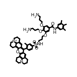 Cc1cc(S(=O)(=O)NCCCOc2cc(C(=O)Nc3cc(C)c(C)c(C)c3)cc(OCCCN)c2OCCCN)ccc1C1=c2cc3c4c(c2Oc2c1cc1c5c2CCCN5CCC1)CCC[N+]=4CCC3